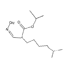 CC(C)CCCCC(/C=N\O)C(=O)OC(C)C